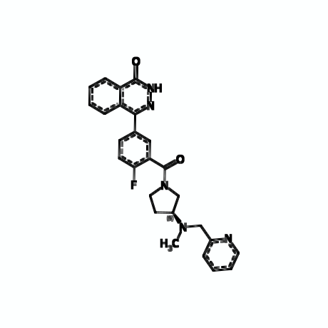 CN(Cc1ccccn1)[C@H]1CCN(C(=O)c2cc(-c3n[nH]c(=O)c4ccccc34)ccc2F)C1